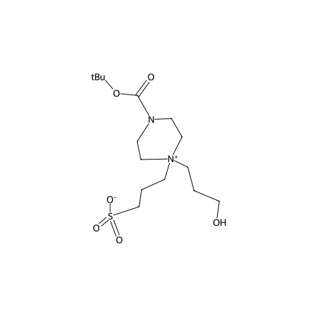 CC(C)(C)OC(=O)N1CC[N+](CCCO)(CCCS(=O)(=O)[O-])CC1